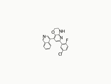 Fc1ccc(Cl)cc1-c1cc(-c2cncc3ccccc23)c2c(n1)NCCO2